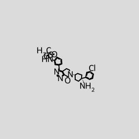 CS(=O)(=O)Nc1cccc(-c2ncnc3c2CCN([C@H]2CC[C@](CN)(c4cccc(Cl)c4)CC2)C3=O)c1